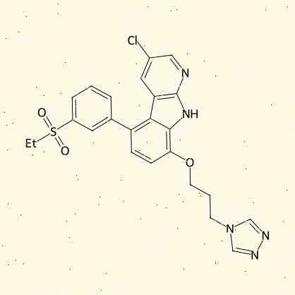 CCS(=O)(=O)c1cccc(-c2ccc(OCCCn3cnnc3)c3[nH]c4ncc(Cl)cc4c23)c1